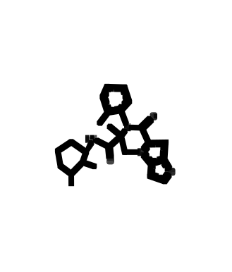 Cc1ccccc1N1C(=O)c2cc3occc3n2CC1(C)C(=O)N[C@@H]1CCCC(C)C1C